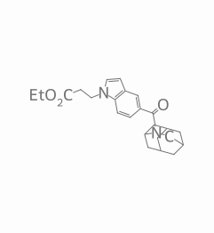 CCOC(=O)CCn1ccc2cc(C(=O)N3CC4CC5CC(C4)CC3C5)ccc21